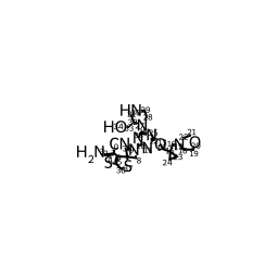 N#Cc1c(N)sc2c1C1(CN(c3nc(OCC4(CN5CCOCC5)CC4)nc(N4CCNC[C@@H]4CO)n3)C1)SC2